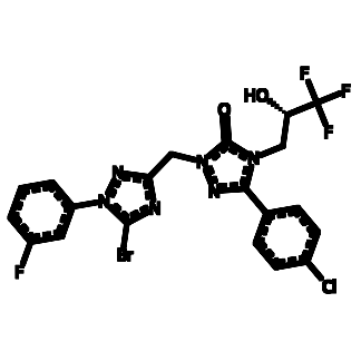 O=c1n(Cc2nc(Br)n(-c3cccc(F)c3)n2)nc(-c2ccc(Cl)cc2)n1C[C@H](O)C(F)(F)F